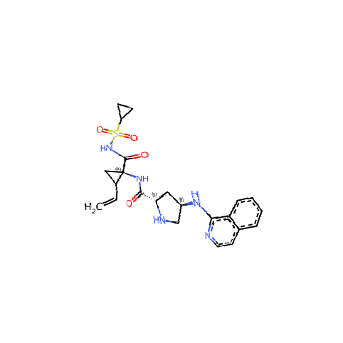 C=CC1C[C@]1(NC(=O)[C@@H]1C[C@@H](Nc2nccc3ccccc23)CN1)C(=O)NS(=O)(=O)C1CC1